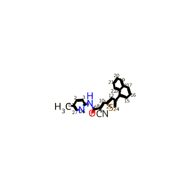 Cc1ccc(NC(=O)/C(C#N)=C/c2cc(-c3cccc4ccccc34)cs2)nc1